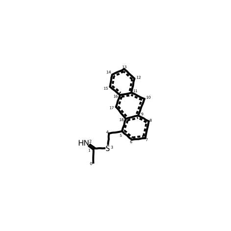 CC(=N)SCc1cccc2cc3ccccc3cc12